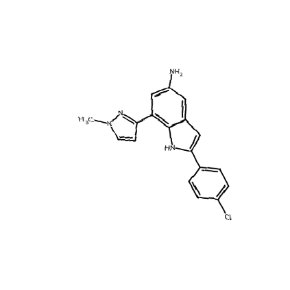 Cn1ccc(-c2cc(N)cc3cc(-c4ccc(Cl)cc4)[nH]c23)n1